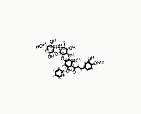 COc1ccc(CCC(=O)c2c(O)cc(O[C@H]3[C@H](O[C@@H]4[C@@H](O)[C@H](O)[C@@H](CO)O[C@H]4O)O[C@@H](C)[C@H](O)[C@H]3O)cc2O)cc1O.c1ccncc1